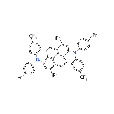 CC(C)c1ccc(N(c2ccc(C(F)(F)F)cc2)c2cc(C(C)C)c3ccc4c(N(c5ccc(C(C)C)cc5)c5ccc(C(F)(F)F)cc5)cc(C(C)C)c5ccc2c3c54)cc1